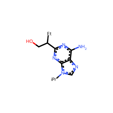 CCC(CO)c1nc(N)c2ncn(C(C)C)c2n1